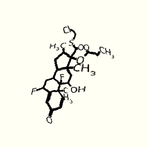 CCC(=O)OC1(C(=O)SCCl)C(C)CC2C3CC(F)C4=CC(=O)C=CC4(C)C3(F)C(O)CC21C